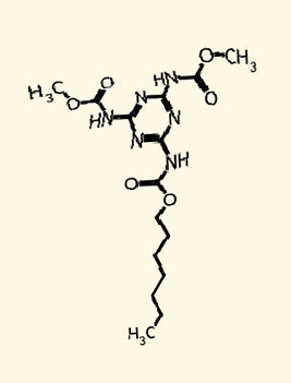 CCCCCCCOC(=O)Nc1nc(NC(=O)OC)nc(NC(=O)OC)n1